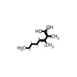 CCCC/C=C(\C)C(C)=C(O)O